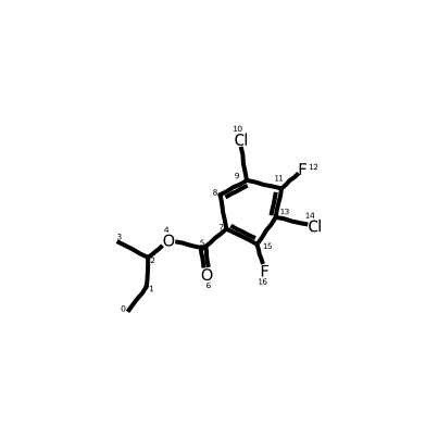 CCC(C)OC(=O)c1cc(Cl)c(F)c(Cl)c1F